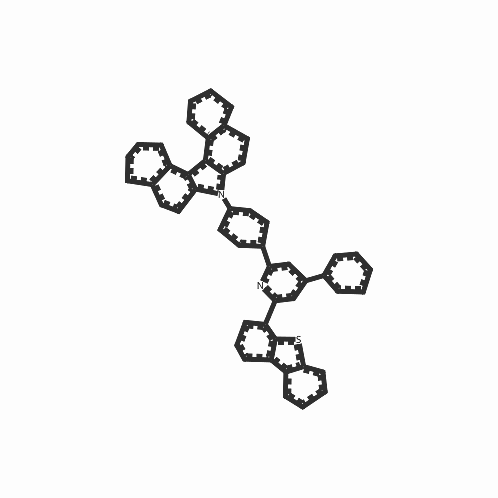 c1ccc(-c2cc(-c3ccc(-n4c5ccc6ccccc6c5c5c6ccccc6ccc54)cc3)nc(-c3cccc4c3sc3ccccc34)c2)cc1